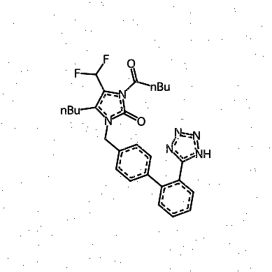 CCCCC(=O)n1c(C(F)F)c(CCCC)n(Cc2ccc(-c3ccccc3-c3nnn[nH]3)cc2)c1=O